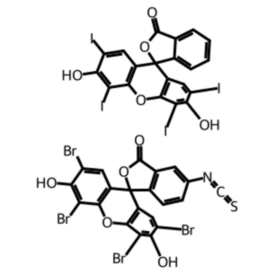 O=C1OC2(c3ccc(N=C=S)cc31)c1cc(Br)c(O)c(Br)c1Oc1c2cc(Br)c(O)c1Br.O=C1OC2(c3ccccc31)c1cc(I)c(O)c(I)c1Oc1c2cc(I)c(O)c1I